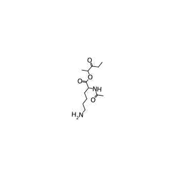 CCC(=O)C(C)OC(=O)C(CCCCN)NC(C)=O